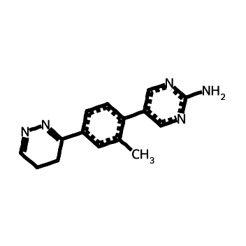 Cc1cc(C2=NN=CCC2)ccc1-c1cnc(N)nc1